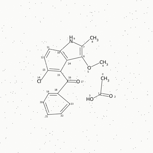 CC(=O)O.COc1c(C)[nH]c2ccc(Cl)c(C(=O)c3ccccc3)c12